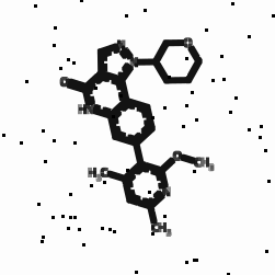 COc1nc(C)cc(C)c1-c1ccc2c(c1)[nH]c(=O)c1cnn(C3CCCOC3)c12